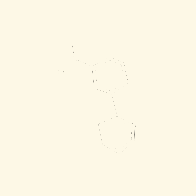 C[S+]([O-])c1cccc(-c2ccc[c]n2)c1